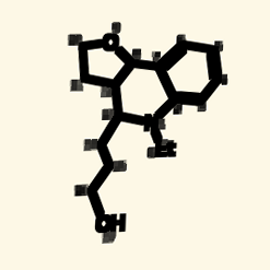 CCN1c2ccccc2C2OCCC2C1CCCO